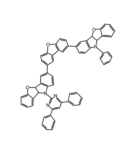 c1ccc(-c2cc(-c3ccccc3)nc(N3c4ccc(-c5ccc6oc7ccc(-c8ccc9c(c8)C8Oc%10ccccc%10C8N9c8ccccc8)cc7c6c5)cc4C4Oc5ccccc5C43)n2)cc1